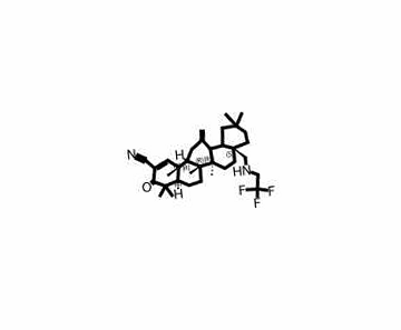 C=C1C[C@@H]2[C@@]3(C)C=C(C#N)C(=O)C(C)(C)[C@@H]3CC[C@@]2(C)[C@]2(C)CC[C@@]3(CNCC(F)(F)F)CCC(C)(C)CC3C12